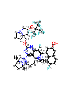 Cc1c(F)ccc2cc(O)cc(-c3c(F)c4nc(OC[C@@]56CCCN5C[C@H](OC(C(F)(F)F)(C(F)(F)F)C(F)(F)F)C6)nc5c4c([n+]3C)CC[C@@H]3[C@@H]4CC[C@H](CN53)N4)c12